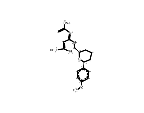 C=C(/N=C(\C=C(/N)C(=O)O)NC[C@H]1CCC[C@@H](c2ccc(OC(F)(F)F)cc2)O1)OC